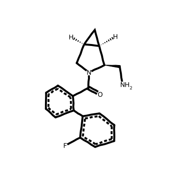 NC[C@@H]1[C@@H]2C[C@@H]2CN1C(=O)c1ccccc1-c1ccccc1F